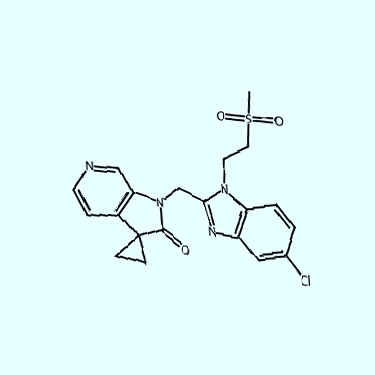 CS(=O)(=O)CCn1c(CN2C(=O)C3(CC3)c3ccncc32)nc2cc(Cl)ccc21